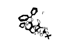 CC(C)(C)OC(=O)NC1C(=O)N2C(C(=O)OC(c3ccccc3)c3ccccc3)=C(C[N+]3(C)CCCC3)CS[C@@H]12.[I-]